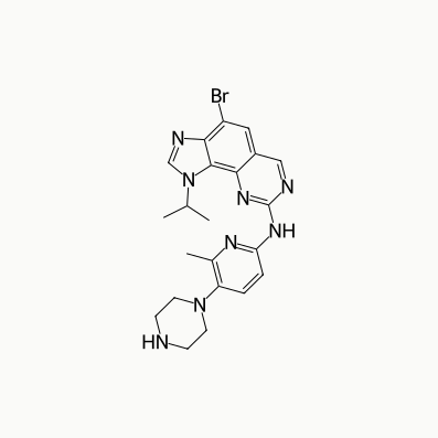 Cc1nc(Nc2ncc3cc(Br)c4ncn(C(C)C)c4c3n2)ccc1N1CCNCC1